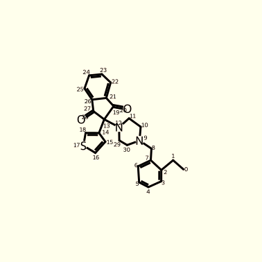 CCc1ccccc1CN1CCN(C2(c3ccsc3)C(=O)c3ccccc3C2=O)CC1